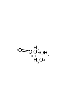 O.O.O.O=O